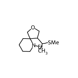 CCN1CCCCC12COCC2C(C)SC